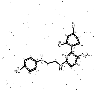 N#Cc1ccc(NCCNc2cnc([N+](=O)[O-])c(-c3ccc(Cl)cc3Cl)n2)cc1